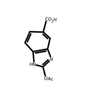 CC(=O)Oc1nc2cc(C(=O)O)ccc2[nH]1